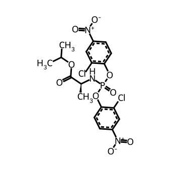 CC(C)OC(=O)[C@H](C)NP(=O)(Oc1ccc([N+](=O)[O-])cc1Cl)Oc1ccc([N+](=O)[O-])cc1Cl